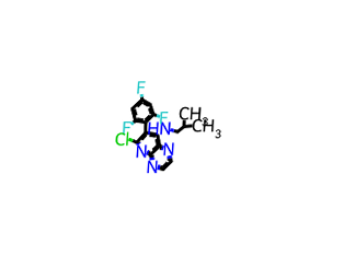 CC(C)CNc1c(-c2c(F)cc(F)cc2F)c(Cl)nc2nccnc12